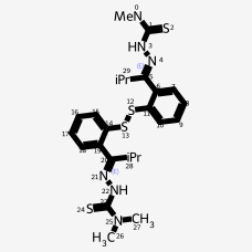 CNC(=S)N/N=C(/c1ccccc1SSc1ccccc1/C(=N/NC(=S)N(C)C)C(C)C)C(C)C